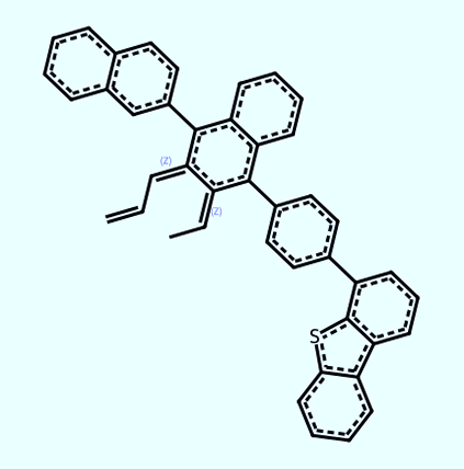 C=C/C=c1/c(-c2ccc3ccccc3c2)c2ccccc2c(-c2ccc(-c3cccc4c3sc3ccccc34)cc2)/c1=C/C